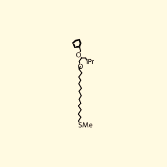 CSCCCCCCCCCCCCCCCOCC(CC(C)C)OCc1ccccc1